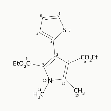 CCOC(=O)c1c(-c2cccs2)c(C(=O)OCC)n(C)c1C